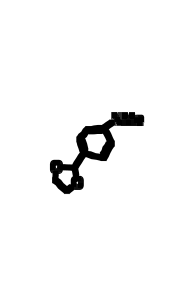 CNc1ccc(C2OCCO2)cc1